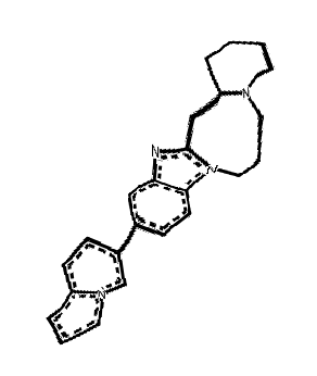 c1cc2ccc(-c3ccc4c(c3)nc3n4CCCN4CCCCC4C3)cn2c1